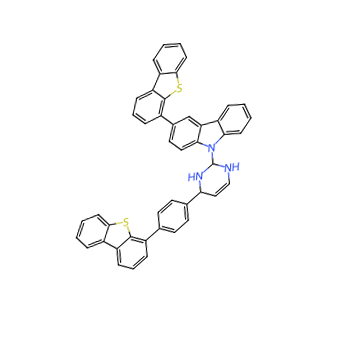 C1=CC(c2ccc(-c3cccc4c3sc3ccccc34)cc2)NC(n2c3ccccc3c3cc(-c4cccc5c4sc4ccccc45)ccc32)N1